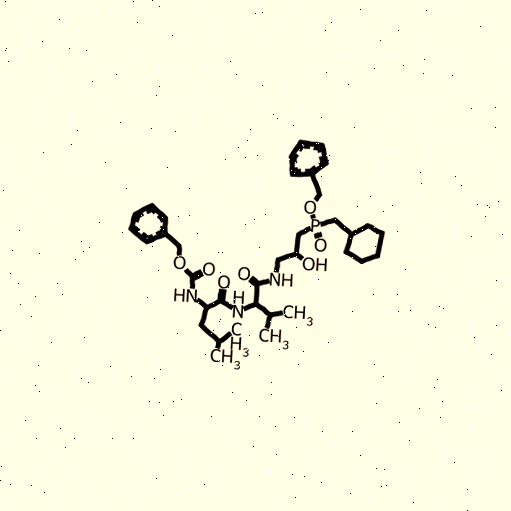 CC(C)CC(NC(=O)OCc1ccccc1)C(=O)NC(C(=O)NCC(O)CP(=O)(CC1CCCCC1)OCc1ccccc1)C(C)C